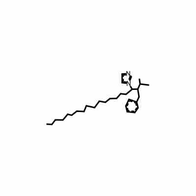 CCCCCCCCCCCCCCCCC(C(Cc1ccccc1)C(C)C)n1ccnc1